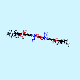 CC(C)(C)CCCOC(=O)CCCCNCCOCCOCCNCCCCC(=O)OCCC(C)(C)C